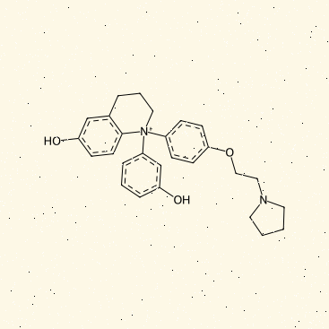 Oc1cccc([N+]2(c3ccc(OCCN4CCCC4)cc3)CCCc3cc(O)ccc32)c1